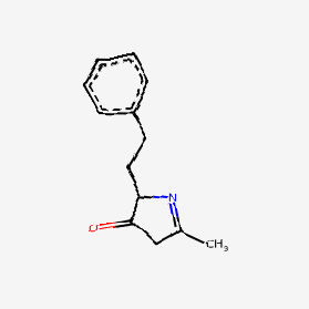 CC1=NC(CCc2ccccc2)C(=O)C1